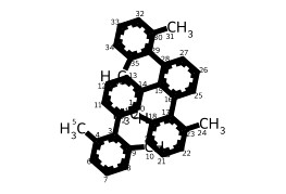 [2H]c1c(-c2c(C)cccc2C)cccc1-c1c(-c2c(C)cccc2C)cccc1-c1c(C)cccc1C